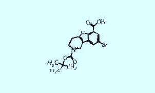 CC(C)(C)OC(=O)N1CCc2oc3c(C(=O)O)cc(Br)cc3c2C1